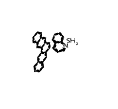 S.c1ccc2cc3c(ccc4cc5ccccc5cc43)cc2c1.c1ccc2ncccc2c1